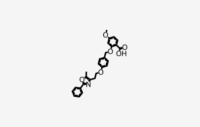 COc1ccc(C(=O)O)c(OCc2ccc(OCCc3nc(-c4ccccc4)oc3C)cc2)c1